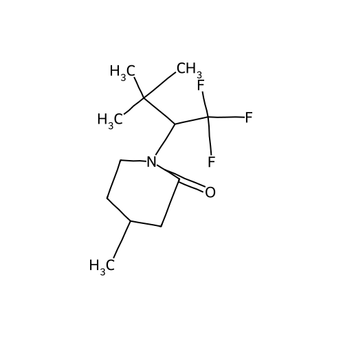 CC1CCN(C(C(C)(C)C)C(F)(F)F)C(=O)C1